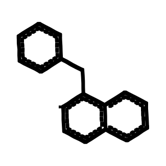 [c]1ccc2ccccc2c1Cc1ccccc1